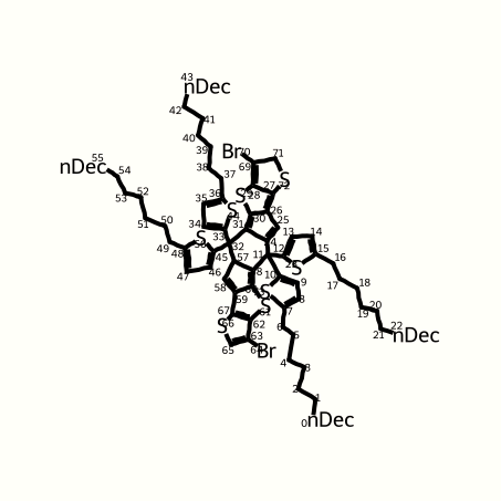 CCCCCCCCCCCCCCCCc1ccc(C2(c3ccc(CCCCCCCCCCCCCCCC)s3)C3=Cc4c5c(sc4=C3C(c3ccc(CCCCCCCCCCCCCCCC)s3)(c3ccc(CCCCCCCCCCCCCCCC)s3)C3C=c4c(sc6c(Br)csc46)=C32)=C(Br)CS5)s1